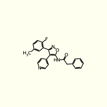 Cc1ccc(F)c(-c2noc(NC(=O)Cc3ccccc3)c2-c2ccncc2)c1